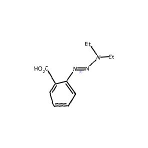 CCN(CC)/N=N/c1ccccc1C(=O)O